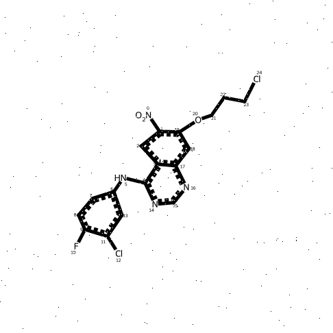 O=[N+]([O-])c1cc2c(Nc3ccc(F)c(Cl)c3)ncnc2cc1OCCCCl